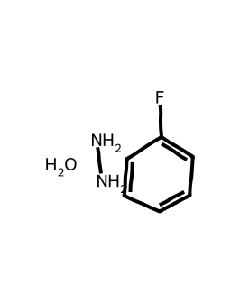 Fc1ccccc1.NN.O